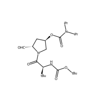 CC(C)N(C(=O)O[C@@H]1C[C@@H](C=O)N(C(=O)[C@@H](NC(=O)OC(C)(C)C)C(C)(C)C)C1)C(C)C